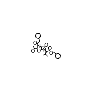 CC(=O)C1OC2C(C(=O)N2C(C(=O)OCc2ccccc2)=C(C)C)N1C(=O)Cc1ccccc1